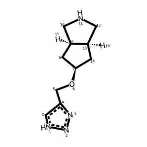 c1[nH]nnc1CO[C@H]1C[C@H]2CNC[C@H]2C1